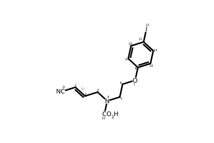 N#C/C=C/CN(CCOc1ccc(I)cc1)C(=O)O